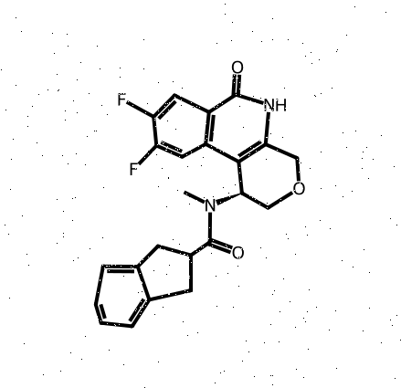 CN(C(=O)C1Cc2ccccc2C1)[C@@H]1COCc2[nH]c(=O)c3cc(F)c(F)cc3c21